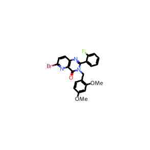 COc1ccc(Cn2c(-c3ccccc3F)nc3ccc(Br)nc3c2=O)c(OC)c1